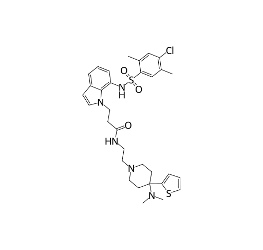 Cc1cc(S(=O)(=O)Nc2cccc3ccn(CCC(=O)NCCN4CCC(c5cccs5)(N(C)C)CC4)c23)c(C)cc1Cl